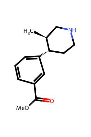 COC(=O)c1cccc([C@H]2CCNC[C@@H]2C)c1